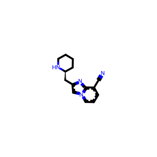 N#Cc1cccn2cc(C[C@@H]3CCCCN3)nc12